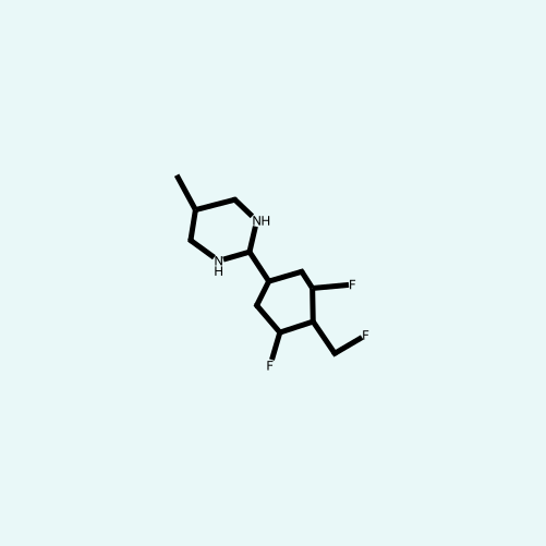 CC1CNC(C2CC(F)C(CF)C(F)C2)NC1